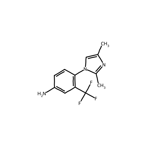 Cc1cn(-c2ccc(N)cc2C(F)(F)F)c(C)n1